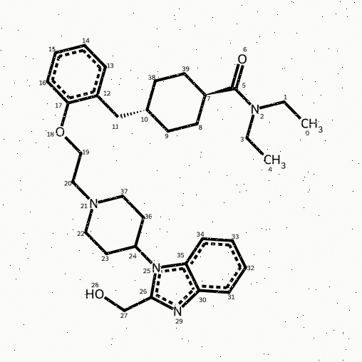 CCN(CC)C(=O)[C@H]1CC[C@H](Cc2ccccc2OCCN2CCC(n3c(CO)nc4ccccc43)CC2)CC1